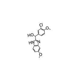 COc1ccc2[nH]c(C(O)c3ccc(OC)c(Cl)c3)nc2c1